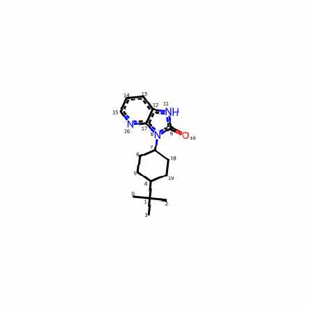 CC(C)(C)C1CCC(n2c(=O)[nH]c3cccnc32)CC1